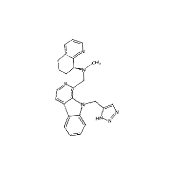 CN(Cc1nccc2c3ccccc3n(Cc3cnn[nH]3)c12)[C@H]1CCCc2cccnc21